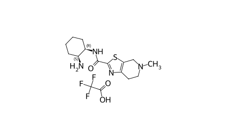 CN1CCc2nc(C(=O)N[C@@H]3CCCC[C@@H]3N)sc2C1.O=C(O)C(F)(F)F